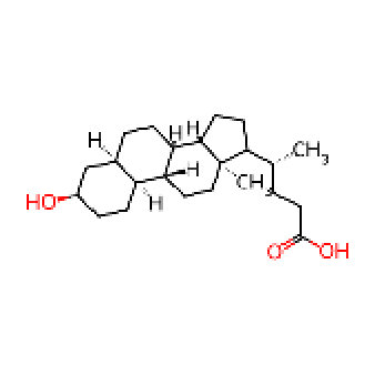 C[C@H](CCC(=O)O)C1CC[C@H]2[C@@H]3CC[C@@H]4C[C@H](O)CC[C@@H]4[C@H]3CC[C@]12C